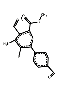 C=Cc1c(C(=O)OC)nc(-c2ccc(C=O)cc2)c(F)c1N